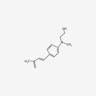 CC(=O)C=Cc1ccc(N(C)CCO)cc1